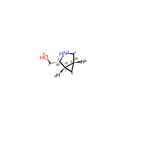 OC[C@@H]1NC[C@@H]2C[C@@H]21